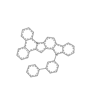 c1ccc(-c2cccc(-n3c4ccccc4c4ccc5c(cc6c7ccccc7c7ccccc7n65)c43)c2)cc1